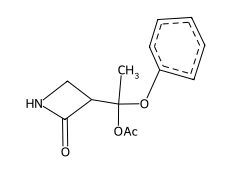 CC(=O)OC(C)(Oc1ccccc1)C1CNC1=O